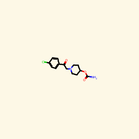 NC(=O)OC1CCN(CC(=O)c2ccc(Cl)cc2)CC1